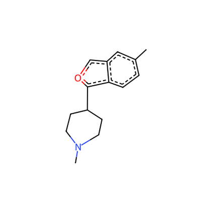 Cc1ccc2c(C3CCN(C)CC3)occ2c1